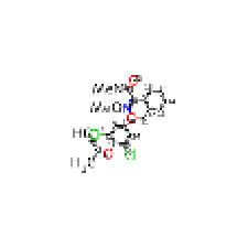 C#CC(C)Oc1c(Cl)cc(OCc2ccccc2C(=NOC)C(=O)NC)cc1Cl